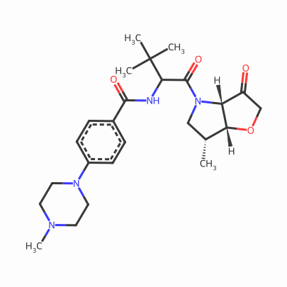 C[C@@H]1CN(C(=O)C(NC(=O)c2ccc(N3CCN(C)CC3)cc2)C(C)(C)C)[C@@H]2C(=O)CO[C@H]12